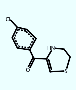 O=C(C1=CSCCN1)c1ccc(Cl)cc1